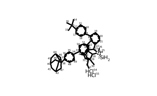 CCCC(C)C1=Cc2c(-c3ccc(C(C)(C)C)cc3)cccc2[CH]1[Zr]([CH3])([CH3])(=[SiH2])[CH]1C(C)=Cc2c(-c3ccc(C45CC6CC(CC(C6)C4)C5)cc3)cccc21.Cl.Cl